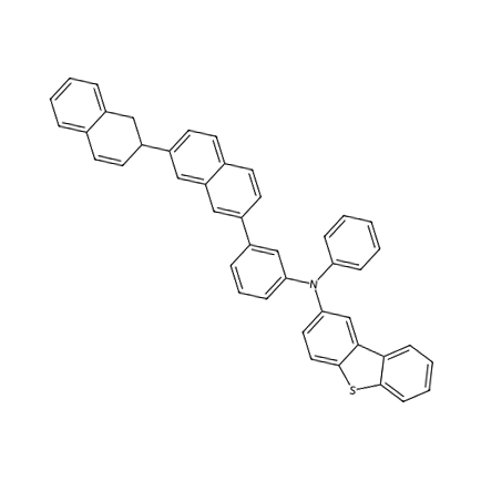 C1=CC(c2ccc3ccc(-c4cccc(N(c5ccccc5)c5ccc6sc7ccccc7c6c5)c4)cc3c2)Cc2ccccc21